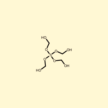 OC[O][Ti]([O]CO)([O]CO)[O]CO